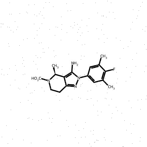 Cc1cc(-n2nc3c(c2N)[C@H](C)N(C(=O)O)CC3)cc(C)c1F